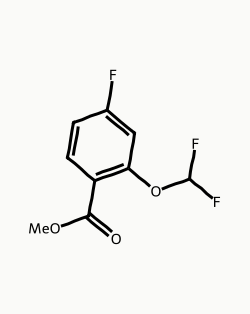 COC(=O)c1ccc(F)cc1OC(F)F